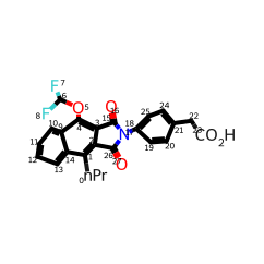 CCCc1c2c(c(OC(F)F)c3ccccc13)C(=O)N(c1ccc(CC(=O)O)cc1)C2=O